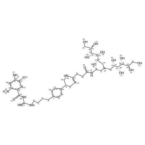 N=C(NCCCCc1ccc(C2CN=C(CCC(=O)NCCN(C[C@H](O)[C@@H](O)[C@H](O)[C@H](O)CO)C[C@H](O)[C@@H](O)[C@H](O)[C@H](O)CO)NC2)cc1)NC(=O)c1nc(Cl)c(N)nc1N